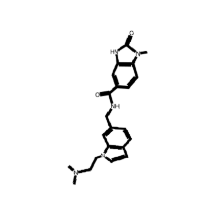 CN(C)CCn1ccc2ccc(CNC(=O)c3ccc4c(c3)[nH]c(=O)n4C)cc21